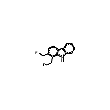 CC(C)Cc1ccc2c([nH]c3ccccc32)c1CC(C)C